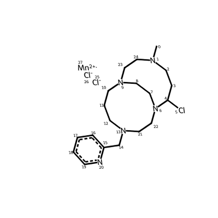 CN1CCC(Cl)N2CCN(CCCN(Cc3ccccn3)CC2)CC1.[Cl-].[Cl-].[Mn+2]